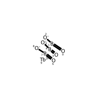 O=B[O-].O=B[O-].O=B[O-].[Tb+3]